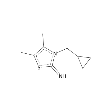 Cc1sc(=N)n(CC2CC2)c1C